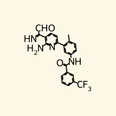 Cc1ccc(NC(=O)c2cccc(C(F)(F)F)c2)cc1-c1ccc(C(=N)C=O)c(N)n1